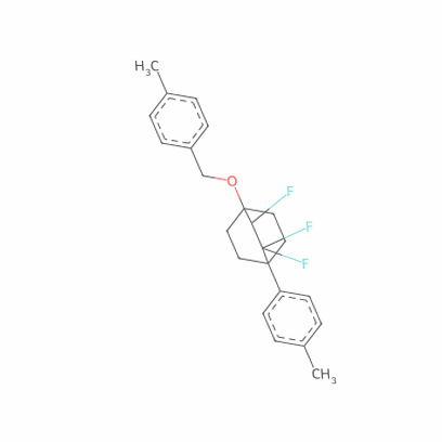 Cc1ccc(COC23CCC(c4ccc(C)cc4)(CC2)C(F)(F)C3F)cc1